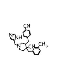 Cc1cccc(CC2(C#N)CCN(Cc3cnc[nH]3)CC2Cc2ccc(C#N)cc2)c1